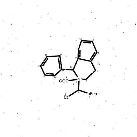 CCCCCC(CC)[N+]1(C(=O)[O-])CCc2ccccc2C1c1ccccc1